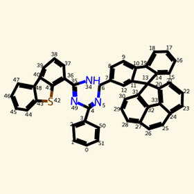 c1ccc(C2=NC(c3ccc4c(c3)C3(c5ccccc5-4)c4cccc5ccc6cccc3c6c45)NC(c3cccc4c3sc3ccccc34)=N2)cc1